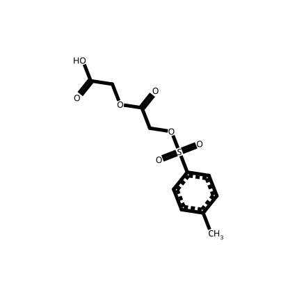 Cc1ccc(S(=O)(=O)OCC(=O)OCC(=O)O)cc1